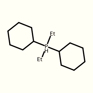 CC[PH](CC)(C1CCCCC1)C1CCCCC1